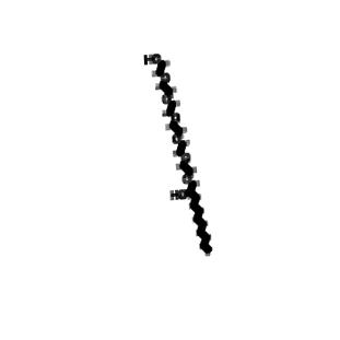 CCCCCCCCCC(O)COCCOCCOCCOCCOCCOCCO